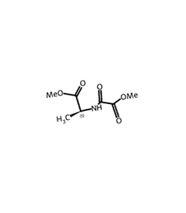 COC(=O)C(=O)N[C@@H](C)C(=O)OC